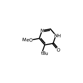 COc1nc[nH]c(=O)c1C(C)(C)C